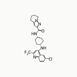 O=C(N[C@H]1CC[C@@H](Nc2cc(C(F)(F)F)nc3ccc(Cl)cc23)CC1)c1cc2n(n1)CCCC2